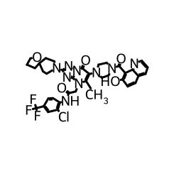 CCc1c(N2CCN(C(=O)c3c(O)ccc4cccnc34)CC2)c(=O)n2nc(N3CCC4(CCCO4)CC3)nc2n1CC(=O)Nc1ccc(C(F)(F)F)cc1Cl